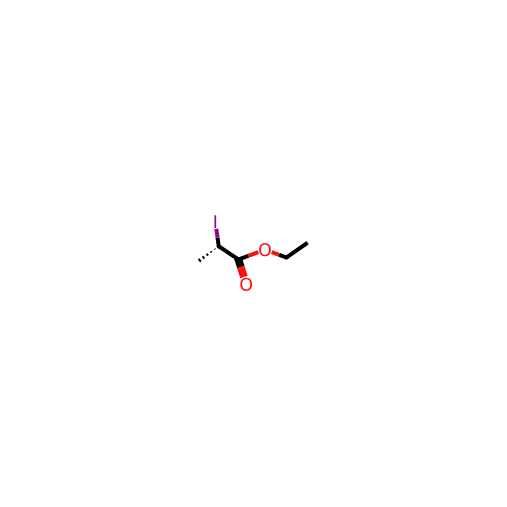 CCOC(=O)[C@H](C)I